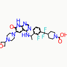 CC(Nc1ncnc2[nH]c(=O)c(N3CCN(C4COC4)CC3)cc12)c1cccc(C(F)(F)C2CCN(C(=O)O)CC2)c1F